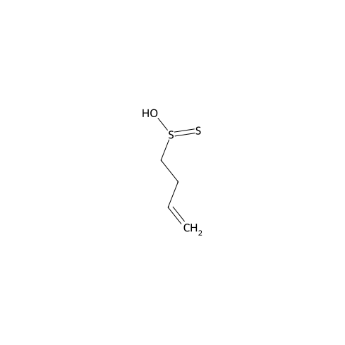 C=CCCS(O)=S